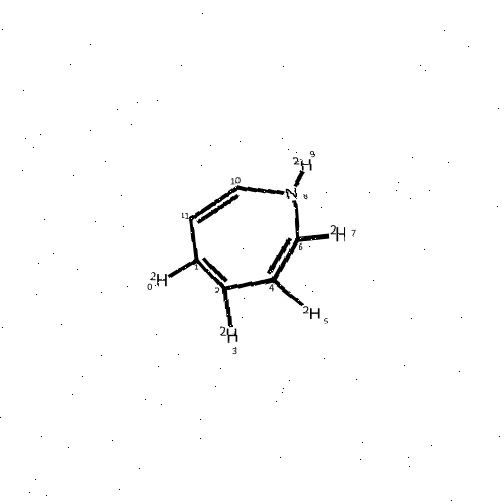 [2H]C1=C([2H])C([2H])=C([2H])N([2H])C=C1